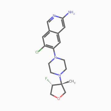 C[C@@]1(N2CCN(c3cc4cc(N)ncc4cc3Cl)CC2)COC[C@@H]1F